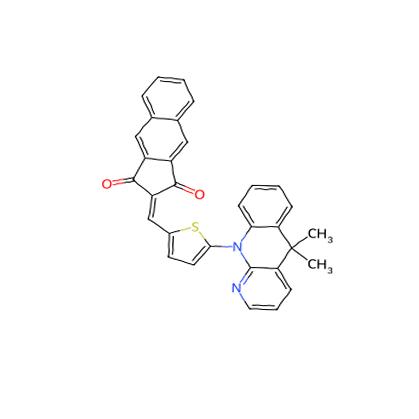 CC1(C)c2ccccc2N(c2ccc(C=C3C(=O)c4cc5ccccc5cc4C3=O)s2)c2ncccc21